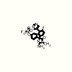 CN1C(=O)C(c2ccc(OS(=O)(=O)C(F)(F)F)cc2)(c2ccc(F)c(-c3cncnc3)c2)N=C1N